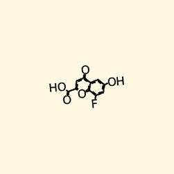 O=C(O)c1cc(=O)c2cc(O)cc(F)c2o1